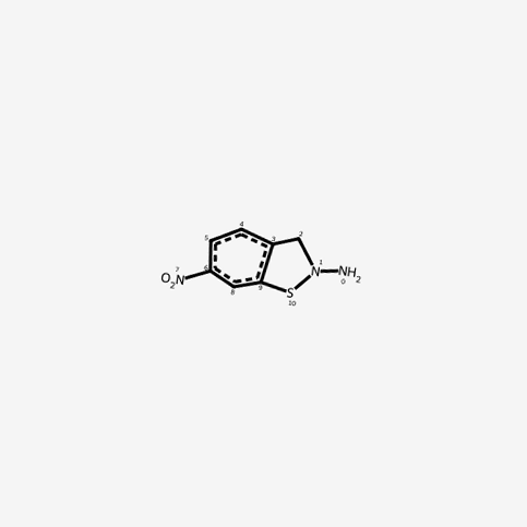 NN1Cc2ccc([N+](=O)[O-])cc2S1